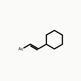 CC(=O)C=CC1CCCCC1